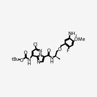 COc1cc(F)c(COC[C@@H](C)NC(=O)c2cnc3c(NC(=O)OC(C)(C)C)cc(Cl)nn23)cc1N